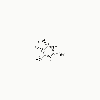 CCCc1nc(O)c2sccc2n1